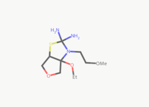 CCOC12COCC1SC(N)(N)N2CCOC